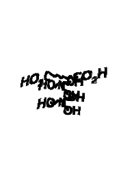 O=C(O)CCCCCCCCC(=O)O.OCCN(CCO)CCO.OCCN(CCO)CCO